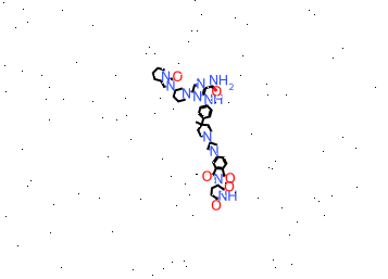 CC1(c2ccc(Nc3nc(N4CCCC(N5CC6CCCCN6C5=O)C4)cnc3C(N)=O)cc2)CCN(C2CN(c3ccc4c(c3)C(=O)N(C3CCC(=O)NC3=O)C4=O)C2)CC1